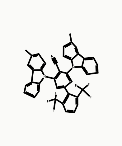 Cc1ccc2c(c1)c1ccccc1n2-c1cc(-c2c(C(F)(F)F)cccc2C(F)(F)F)cc(-n2c3ccccc3c3cc(C)ccc32)c1C#N